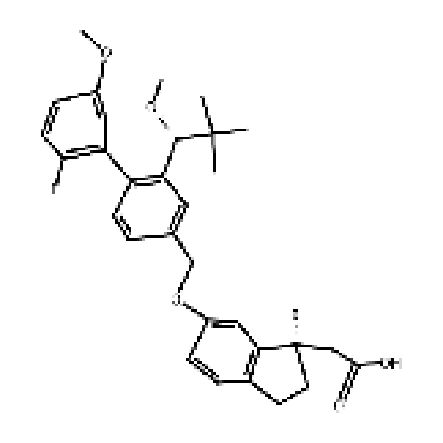 COc1ccc(F)c(-c2ccc(COc3ccc4c(c3)[C@@](C)(CC(=O)O)CC4)cc2[C@H](OC)C(C)(C)C)c1